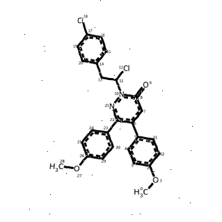 COc1ccc(-c2cc(=O)n(C(Cl)Cc3ccc(Cl)cc3)nc2-c2ccc(OC)cc2)cc1